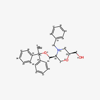 CC(C)(C)[Si](OC[C@@H]1CO[C@H](CO)CN1Cc1ccccc1)(c1ccccc1)c1ccccc1